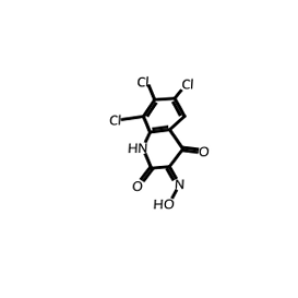 O=C1Nc2c(cc(Cl)c(Cl)c2Cl)C(=O)C1=NO